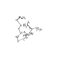 CC(O)C(=O)O.NCCCC1CNCCO1